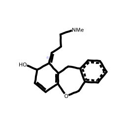 CNCC/C=C1\C2=C(C=CC1O)OCc1ccccc1C2